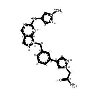 Cn1cc(Nc2ncc3cnn(Cc4cccc(-c5cnn(CC(N)=O)c5)c4)c3n2)cn1